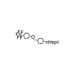 CCCCCCCc1ccc(COc2ccc(S(F)(F)(F)(F)F)cc2)cc1